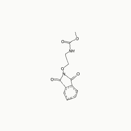 COC(=O)NCCON1C(=O)c2ccccc2C1=O